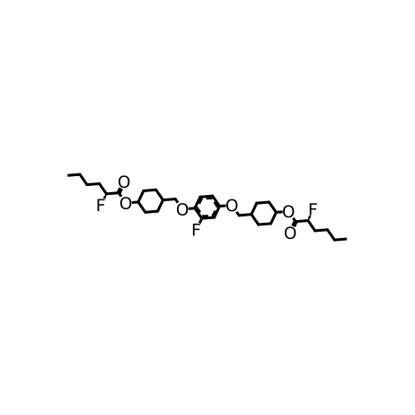 CCCC[C@H](F)C(=O)OC1CCC(COc2ccc(OCC3CCC(OC(=O)[C@@H](F)CCCC)CC3)c(F)c2)CC1